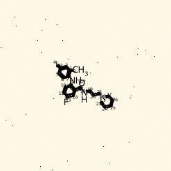 Cc1cc(I)ccc1Nc1ccc(F)cc1C(=O)NCCCN1CCCCC1